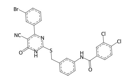 N#Cc1c(-c2cccc(Br)c2)nc(SCc2cccc(NC(=O)c3ccc(Cl)c(Cl)c3)c2)[nH]c1=O